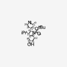 Cc1cc(-c2c(C(C)C)c3cc(O)ccc3n2C(=O)OC(C)(C)C)ccn1